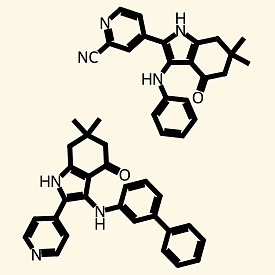 CC1(C)CC(=O)c2c([nH]c(-c3ccnc(C#N)c3)c2Nc2ccccc2)C1.CC1(C)CC(=O)c2c([nH]c(-c3ccncc3)c2Nc2cccc(-c3ccccc3)c2)C1